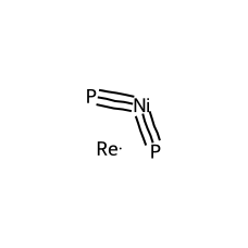 [P]#[Ni]#[P].[Re]